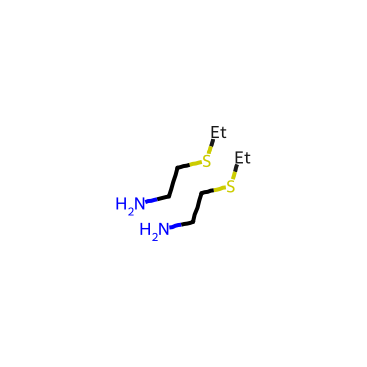 CCSCCN.CCSCCN